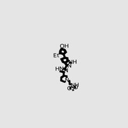 CCc1cc(O)ccc1-c1ccc2c(-c3nc(C4=CCCN(CCNS(C)(=O)=O)C4)c[nH]3)n[nH]c2c1